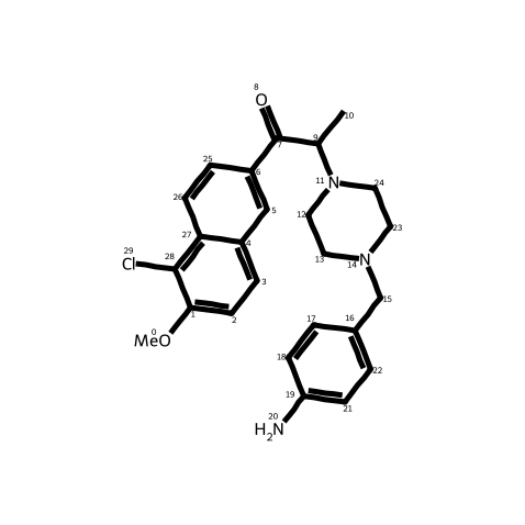 COc1ccc2cc(C(=O)C(C)N3CCN(Cc4ccc(N)cc4)CC3)ccc2c1Cl